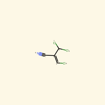 N#CC(=CCl)C(Cl)Cl